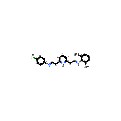 CC(C)c1cccc(C(C)C)c1N=CCc1cccc(CC=Nc2ccc(Cl)cc2)n1